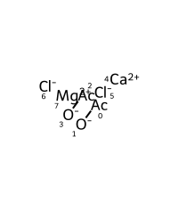 CC(=O)[O-].CC(=O)[O-].[Ca+2].[Cl-].[Cl-].[Mg+2]